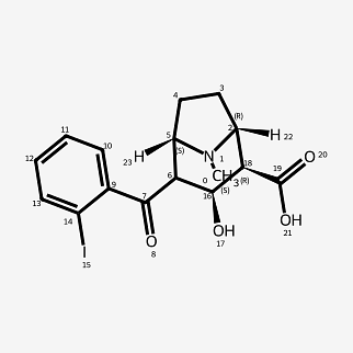 CN1[C@@H]2CC[C@H]1C(C(=O)c1ccccc1I)[C@H](O)[C@@H]2C(=O)O